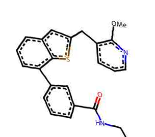 COc1ncccc1Cc1cc2cccc(-c3cccc(C(=O)NCCO)c3)c2s1